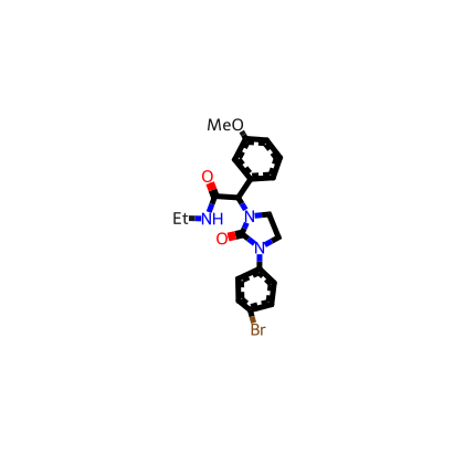 CCNC(=O)C(c1cccc(OC)c1)N1CCN(c2ccc(Br)cc2)C1=O